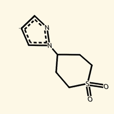 O=S1(=O)CCC(n2c[c]cn2)CC1